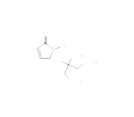 O=C(O)CC(O)(CC(=O)O)C(=O)O.O=C1C=CCN1O